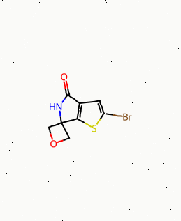 O=C1NC2(COC2)c2sc(Br)cc21